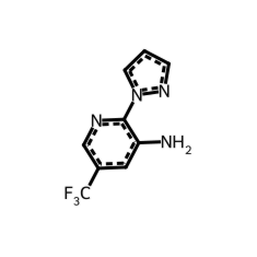 Nc1cc(C(F)(F)F)cnc1-n1cccn1